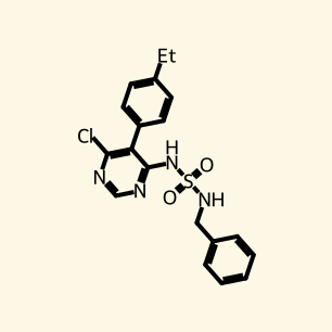 CCc1ccc(-c2c(Cl)ncnc2NS(=O)(=O)NCc2ccccc2)cc1